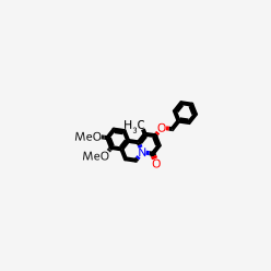 COc1ccc2c(c1OC)CCn1c-2c(C)c(OCc2ccccc2)cc1=O